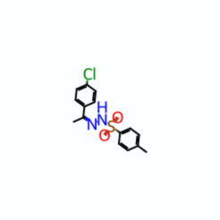 CC(=NNS(=O)(=O)c1ccc(C)cc1)c1ccc(Cl)cc1